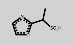 CC(c1ncco1)S(=O)(=O)O